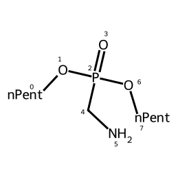 CCCCCOP(=O)(CN)OCCCCC